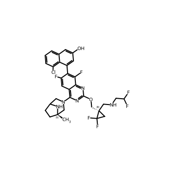 C[C@]12CCC(CN(c3nc(OC[C@]4(CNCC(F)F)CC4(F)F)nc4c(F)c(-c5cc(O)cc6cccc(Cl)c56)c(F)cc34)C1)N2